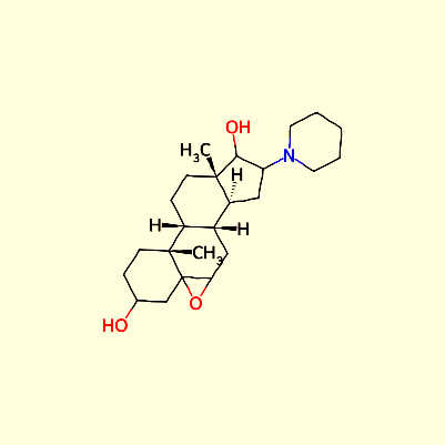 C[C@]12CC[C@@H]3[C@@H](CC4OC45CC(O)CC[C@]35C)[C@@H]1CC(N1CCCCC1)C2O